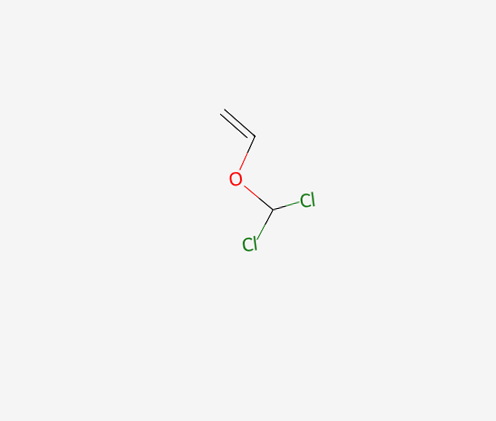 C=COC(Cl)Cl